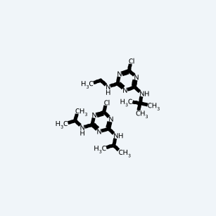 CC(C)Nc1nc(Cl)nc(NC(C)C)n1.CCNc1nc(Cl)nc(NC(C)(C)C)n1